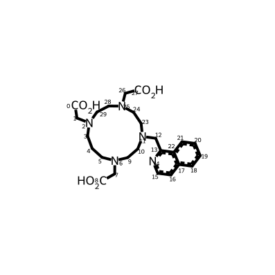 O=C(O)CN1CCCN(CC(=O)O)CCN(Cc2nccc3ccccc23)CCN(CC(=O)O)CC1